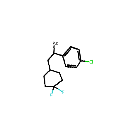 CC(=O)C(CC1CCC(F)(F)CC1)c1ccc(Cl)cc1